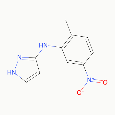 Cc1ccc([N+](=O)[O-])cc1Nc1cc[nH]n1